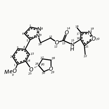 COc1ccc(-c2ccnn2CCOC(=O)Nc2c(C)noc2C)cc1O[C@@H]1CCOC1